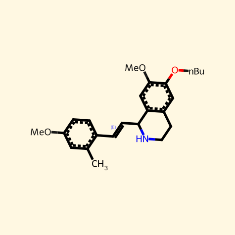 CCCCOc1cc2c(cc1OC)C(/C=C/c1ccc(OC)cc1C)NCC2